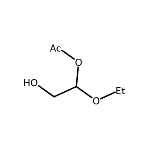 CCOC(CO)OC(C)=O